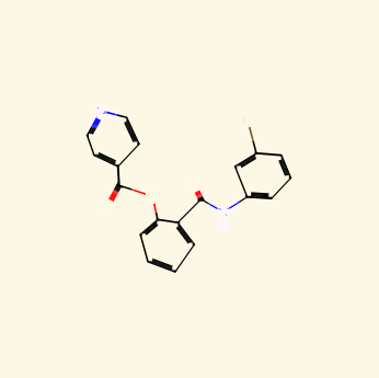 O=C(Oc1ccccc1C(=O)Nc1cccc(Br)c1)c1ccncc1